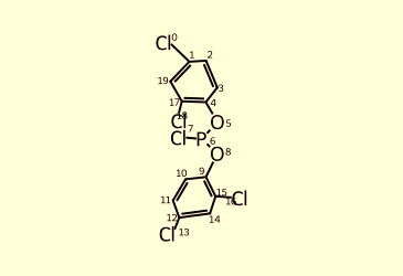 Clc1ccc(OP(Cl)Oc2ccc(Cl)cc2Cl)c(Cl)c1